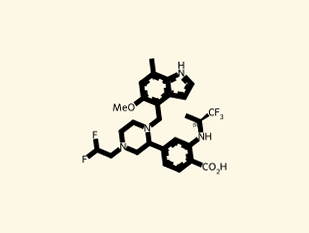 COc1cc(C)c2[nH]ccc2c1CN1CCN(CC(F)F)CC1c1ccc(C(=O)O)c(N[C@@H](C)C(F)(F)F)c1